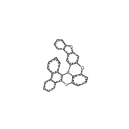 c1cc2c3c(c1)Oc1c(c4ccccc4c4ccccc14)B3c1cc3c(cc1O2)oc1ccccc13